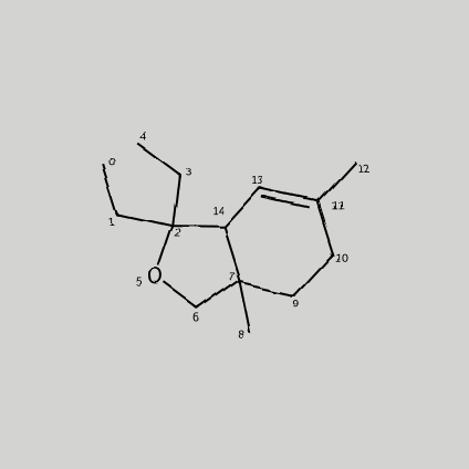 CCC1(CC)OCC2(C)CCC(C)=CC21